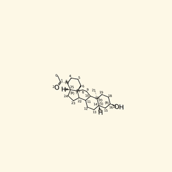 CC(=O)[C@@H]1CCC[C@@]23CCC4C(CC[C@H]5C[C@H](O)CC[C@]45C)C2CC[C@H]13